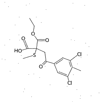 CCOC(=O)C(CC(=O)c1cc(Cl)c(C)c(Cl)c1)(SC)C(=O)O